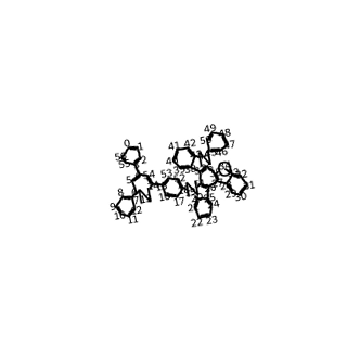 c1ccc(-c2cc(-c3ccccc3)nc(-c3ccc(-n4c5ccccc5c5c6c7ccccc7oc6c6c(c7ccccc7n6-c6ccccc6)c54)cc3)c2)cc1